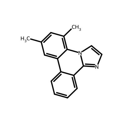 Cc1cc(C)c2c(c1)c1ccccc1c1nccn12